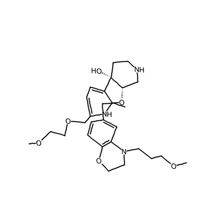 COCCCN1CCOc2ccc(CO[C@H]3CNCC[C@]3(O)C3=CC=C(COCCOC)NC3C)cc21